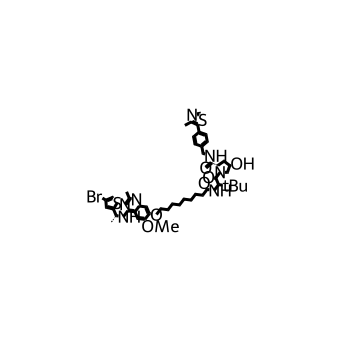 COc1cc2c(N[C@H](C)c3cc(Br)cs3)nc(C)nc2cc1OCCCCCCCCC(=O)NC(C(=O)N1C[C@H](O)C[C@H]1C(=O)NCc1ccc(-c2scnc2C)cc1)C(C)(C)C